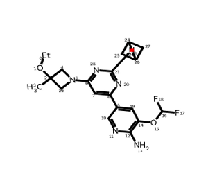 CCOC1(C)CN(c2cc(-c3cnc(N)c(OC(F)F)c3)nc(N3CC4CC3C4)n2)C1